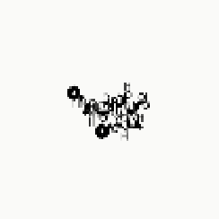 CC(C)C[C@H](NC(=O)OCc1ccccc1)C(=O)N[C@@H](CCC(=O)O)C(=O)N[C@H](C(=O)N(C)N(C(=O)O)C(=O)[C@H]1O[C@@H]1C(=O)NC(C)C(=O)NCc1ccccc1)[C@@H](C)O